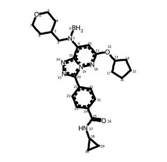 BN(CC1CCOCC1)c1cc(OC2CCCC2)nn2c(-c3ccc(C(=O)NC4CC4)cc3)nnc12